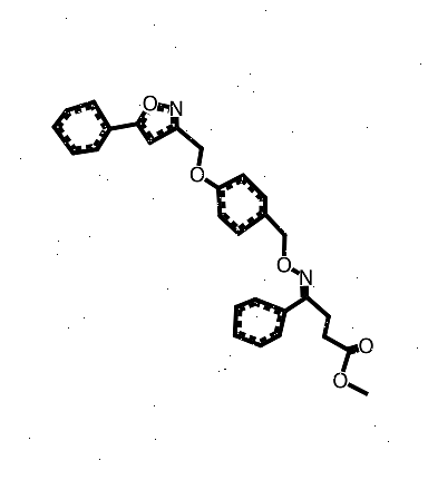 COC(=O)CCC(=NOCc1ccc(OCc2cc(-c3ccccc3)on2)cc1)c1ccccc1